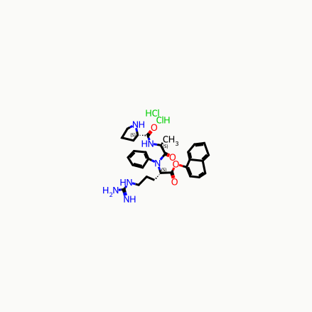 C[C@H](NC(=O)[C@@H]1CCCN1)C(=O)N(c1ccccc1)[C@@H](CCCNC(=N)N)C(=O)Oc1cccc2ccccc12.Cl.Cl